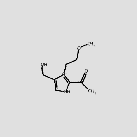 COCC[n+]1c(CO)c[nH]c1C(C)=O